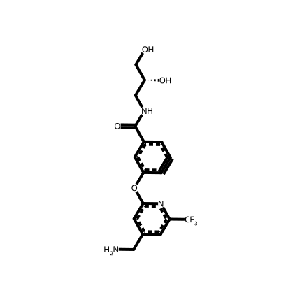 NCc1cc(Oc2c#ccc(C(=O)NC[C@@H](O)CO)c2)nc(C(F)(F)F)c1